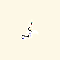 C[C@@H](NC(=O)C1CC1c1ccccn1)c1ccc(OCC(F)(F)F)s1